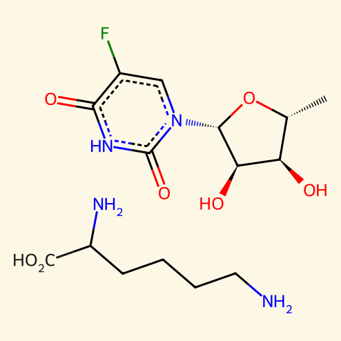 C[C@H]1O[C@@H](n2cc(F)c(=O)[nH]c2=O)[C@H](O)[C@@H]1O.NCCCCC(N)C(=O)O